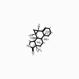 C[C@]12CCCC=C1[C@H]1C[C@H]1[C@@H]1[C@@H]2CC[C@]2(C)C(=O)OC[C@@H]12